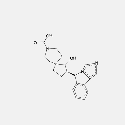 O=C(O)N1CCC2(CC[C@H](C3c4ccccc4-c4cncn43)[C@H]2O)CC1